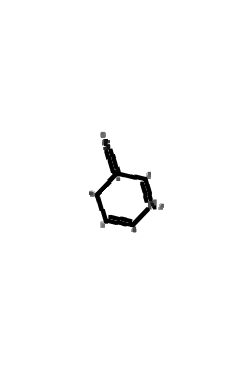 S=C1C=NC=CC1